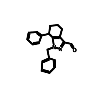 O=Cc1nn(Cc2ccccc2)c2c1CCCC2c1ccccc1